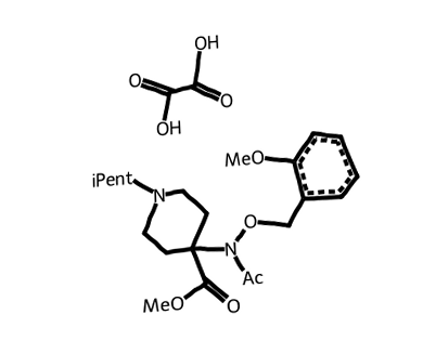 CCCC(C)N1CCC(C(=O)OC)(N(OCc2ccccc2OC)C(C)=O)CC1.O=C(O)C(=O)O